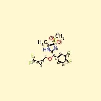 Cc1[nH]c(C(OCC2CC2C(F)F)c2ccc(F)c(Cl)c2)nc1S(C)(=O)=O